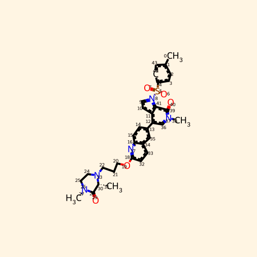 Cc1ccc(S(=O)(=O)n2ccc3c(-c4ccc5nc(OCCCN6CCN(C)C(=O)[C@H]6C)ccc5c4)cn(C)c(=O)c32)cc1